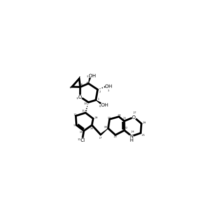 O[C@@H]1[C@@H](O)[C@H](O)C2(CC2)O[C@H]1C1CC=C(Cl)C(C[C@H]2CCC3=C(C2)NCCO3)C1